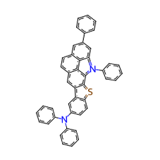 c1ccc(-c2cc3ccc4cc5c6cc(N(c7ccccc7)c7ccccc7)ccc6sc5c5c4c3c(c2)n5-c2ccccc2)cc1